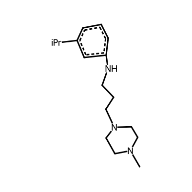 CC(C)c1cccc(NCCCN2CCN(C)CC2)c1